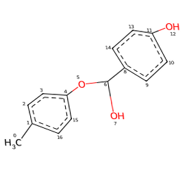 Cc1ccc(OC(O)c2ccc(O)cc2)cc1